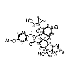 COc1ccc(CN2C(=O)c3cc(C(C)(O)c4cnn(C)c4)cc(F)c3[C@]2(OCC2(CO)CC2)c2ccc(Cl)cc2)nc1